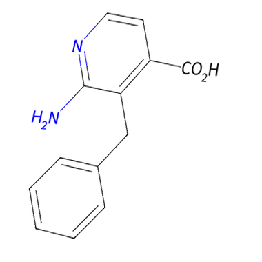 Nc1nccc(C(=O)O)c1Cc1ccccc1